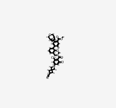 COC(=O)c1cc(F)c(-c2cccc3c2OCN(C(=O)c2c(Cl)cc(N4CC5(CC(C#N)C5)C4)cc2Cl)C3)cc1N1C2CCC1COC2